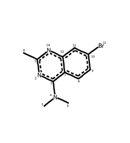 Cc1nc(N(C)C)c2ccc(Br)cc2n1